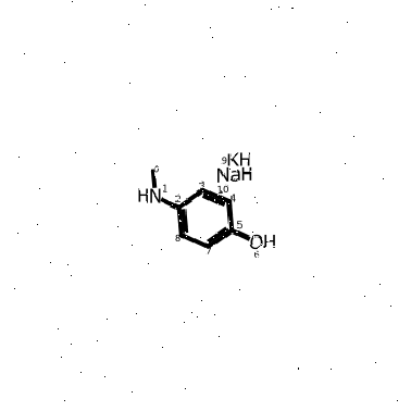 CNc1ccc(O)cc1.[KH].[NaH]